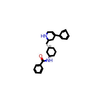 O=C(N[C@H]1CCC[C@@H](CC2CC(c3ccccc3)=CCN2)C1)c1ccccc1